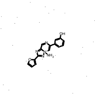 N[N+]12C=C(c3cccc(O)c3)N=CC1=NC(c1ccco1)=N2